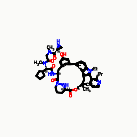 CCn1c(-c2cccnc2C(C)C)c2c3cc(ccc31)-c1cc(O)cc(c1)C[C@H](NC(=O)[C@H](C1CCCC1)N(C)C(=O)CN(C)C(=O)[C@H]1CN1)C(=O)N1CCC[C@H](N1)C(=O)OCC(C)(C)C2